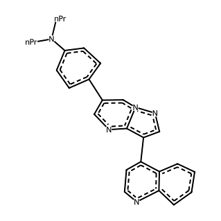 CCCN(CCC)c1ccc(-c2cnc3c(-c4ccnc5ccccc45)cnn3c2)cc1